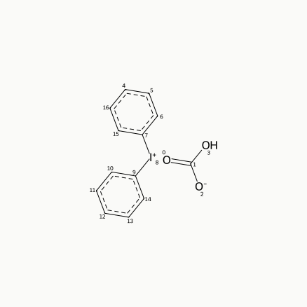 O=C([O-])O.c1ccc([I+]c2ccccc2)cc1